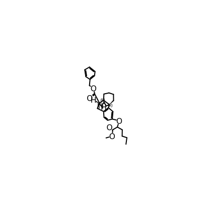 CCCCC(Oc1ccc2c(c1)[C@@]13CCCC[C@H]1[C@@H](C2)N(C(=O)OCc1ccccc1)CC3)C(=O)OC